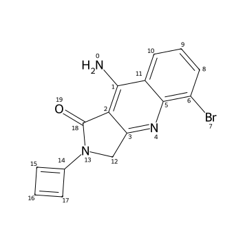 Nc1c2c(nc3c(Br)cccc13)CN(C1=CC=C1)C2=O